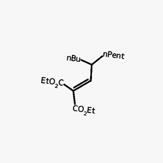 CCCCCC(C=C(C(=O)OCC)C(=O)OCC)CCCC